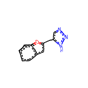 c1ccc2oc(-c3cnn[nH]3)cc2c1